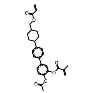 C=CC(=O)OCC1CCC(c2ccc(-c3ccc(OC(C)=O)c(OC(=O)C(=C)C)c3)cc2)CC1